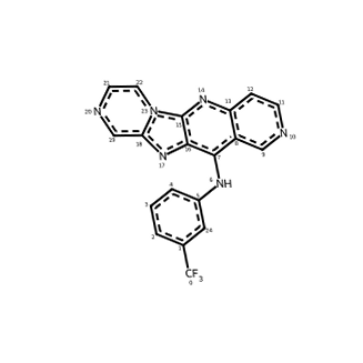 FC(F)(F)c1cccc(Nc2c3cnccc3nc3c2nc2cnccn23)c1